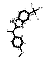 COc1ccc(C(C)c2nc3cc(C(F)(F)F)ccc3[nH]2)cc1